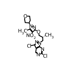 Cc1c([N+](=O)[O-])c(OC[C@H](C)Cn2nc(Cl)c3cnc(Cl)nc32)nn1C1CCOCC1